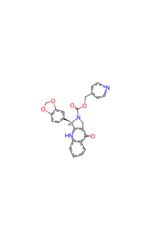 O=C(OCc1ccncc1)N1Cc2c([nH]c3ccccc3c2=O)[C@H]1c1ccc2c(c1)OCO2